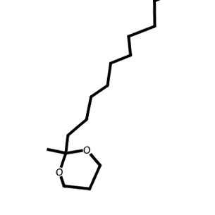 CCCCCCCCCCC1(C)OCCCO1